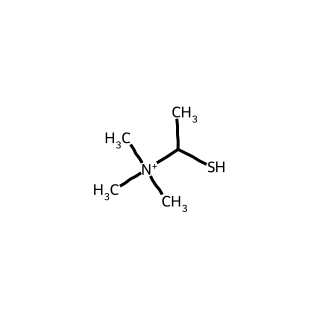 CC(S)[N+](C)(C)C